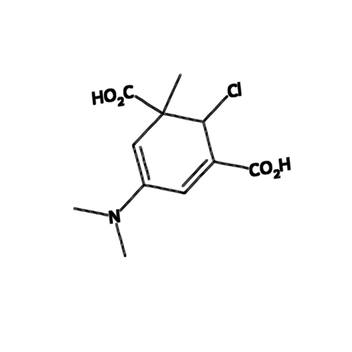 CN(C)C1=CC(C)(C(=O)O)C(Cl)C(C(=O)O)=C1